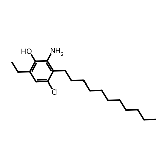 CCCCCCCCCCCc1c(Cl)cc(CC)c(O)c1N